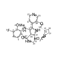 COc1c(F)cccc1Nc1c(-c2ccncc2OC[C@@H]2CCN2C(=O)O)[nH]c2c1C(=O)NCC2